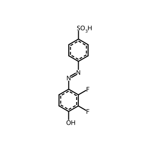 O=S(=O)(O)c1ccc(N=Nc2ccc(O)c(F)c2F)cc1